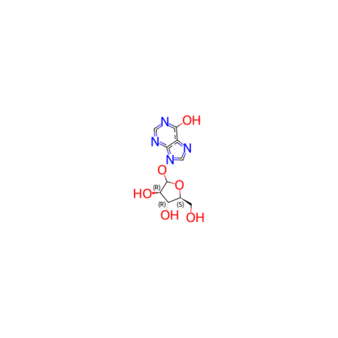 OC[C@@H]1OC(On2cnc3c(O)ncnc32)[C@H](O)[C@H]1O